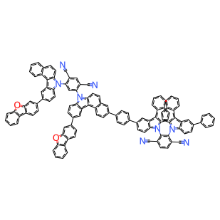 N#Cc1cc(C#N)c(-n2c3ccc(-c4ccc5c(c4)oc4ccccc45)cc3c3c4ccc(-c5ccc(-c6ccc7c(c6)c6c8ccccc8ccc6n7-c6c(C#N)ccc(C#N)c6-n6c7ccc(-c8ccccc8)cc7c7c8ccccc8ccc76)cc5)cc4ccc32)cc1-n1c2ccc(-c3ccc4c(c3)oc3ccccc34)cc2c2c3ccccc3ccc21